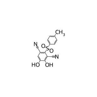 Cc1ccc(S(=O)(=O)c2c(C#N)cc(O)c(O)c2C#N)cc1